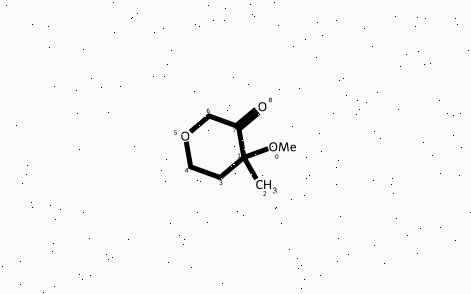 COC1(C)CCOCC1=O